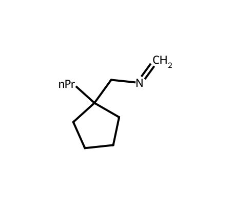 C=NCC1(CCC)CCCC1